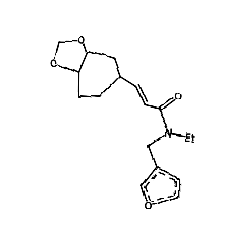 CCN(Cc1ccoc1)C(=O)/C=C/C1CCC2OCOC2C1